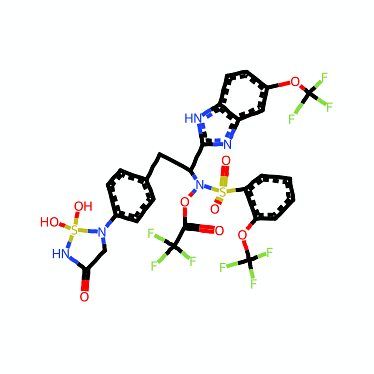 O=C1CN(c2ccc(CC(c3nc4cc(OC(F)(F)F)ccc4[nH]3)N(OC(=O)C(F)(F)F)S(=O)(=O)c3ccccc3OC(F)(F)F)cc2)S(O)(O)N1